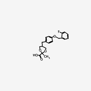 CC1(C(=O)O)OCC(Cc2ccc(OCc3ccccc3F)cc2)CO1